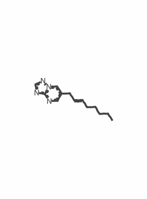 CCCCCC=CCc1cnc2ncnn2c1